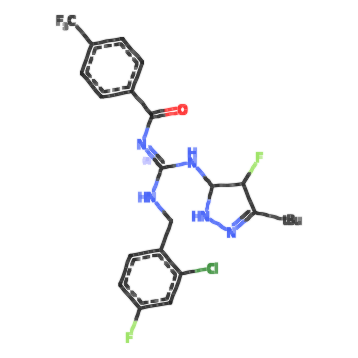 CC(C)(C)C1=NNC(N/C(=N\C(=O)c2ccc(C(F)(F)F)cc2)NCc2ccc(F)cc2Cl)C1F